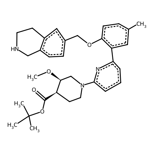 CO[C@H]1CN(c2cccc(-c3cc(C)ccc3OCc3ccc4c(c3)CCNC4)n2)CC[C@H]1C(=O)OC(C)(C)C